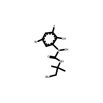 CC(C)(C)CC(C)(C)NC(=O)N(S)c1cc(Br)cc(F)c1O